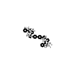 CN(C)[C@@H](C(=O)N1CCC[C@H]1C1NC=CN1c1ccc(-c2ccc(-c3cnc([C@@H]4CCCN4C(=O)[C@@H](c4ccccc4Cl)N(C)C)[nH]3)cc2)cc1)c1ccccc1